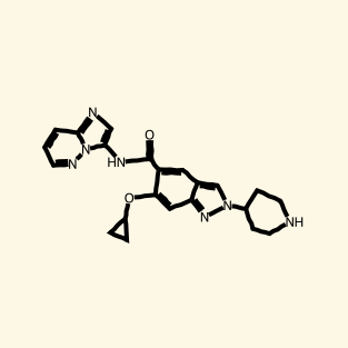 O=C(Nc1cnc2cccnn12)c1cc2cn(C3CCNCC3)nc2cc1OC1CC1